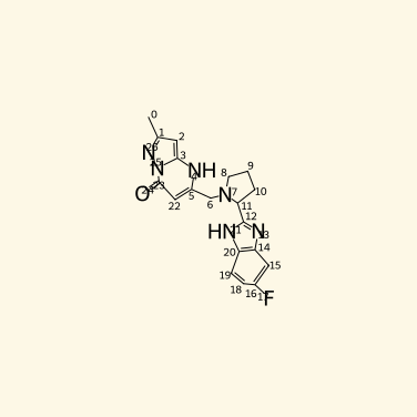 Cc1cc2[nH]c(CN3CCCC3c3nc4cc(F)ccc4[nH]3)cc(=O)n2n1